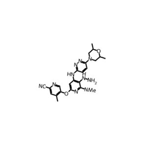 CNc1nc(Oc2cnc(C#N)cc2C)cc(Nc2ccc(N3CC(C)OC(C)C3)nn2)c1NN